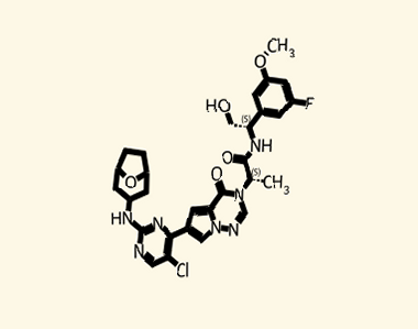 COc1cc(F)cc([C@@H](CO)NC(=O)[C@H](C)n2cnn3cc(-c4nc(NC5CC6CCC(C5)O6)ncc4Cl)cc3c2=O)c1